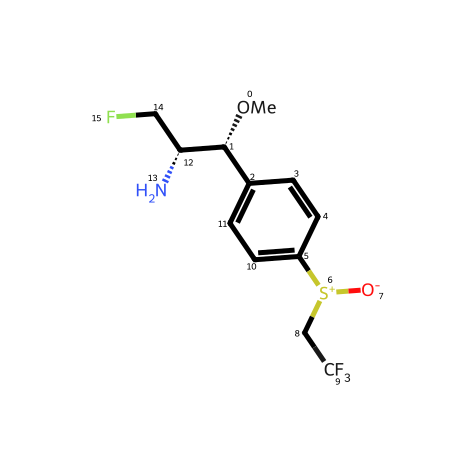 CO[C@H](c1ccc([S+]([O-])CC(F)(F)F)cc1)[C@H](N)CF